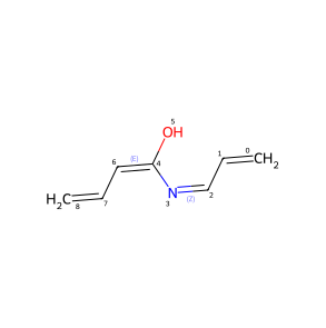 C=C/C=N\C(O)=C/C=C